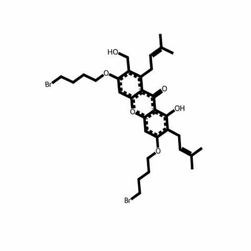 CC(C)=CCc1c(OCCCCBr)cc2oc3cc(OCCCCBr)c(CO)c(CC=C(C)C)c3c(=O)c2c1O